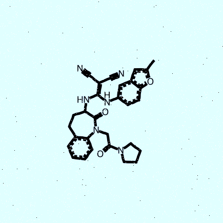 Cc1cc2cc(NC(NC3CCc4ccccc4N(CC(=O)N4CCCC4)C3=O)=C(C#N)C#N)ccc2o1